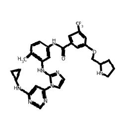 Cc1ccc(NC(=O)c2cc(OCC3CCCN3)cc(C(F)(F)F)c2)cc1Nc1nccn1-c1cc(NC2CC2)ncn1